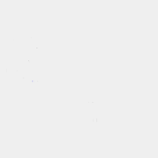 CCCCCCCC(O)(O)CCCCCC/C=C/[C@H](C(=O)O)[C@@](O)(CCO)C(=O)OC(C)(C)C